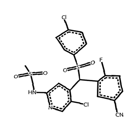 CS(=O)(=O)Nc1cc(C(c2cc(C#N)ccc2F)S(=O)(=O)c2ccc(Cl)cc2)c(Cl)cn1